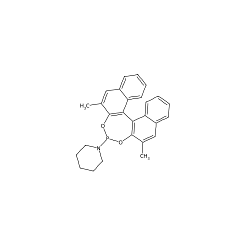 Cc1cc2ccccc2c2c1op(N1CCCCC1)oc1c(C)cc3ccccc3c12